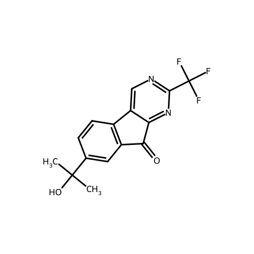 CC(C)(O)c1ccc2c(c1)C(=O)c1nc(C(F)(F)F)ncc1-2